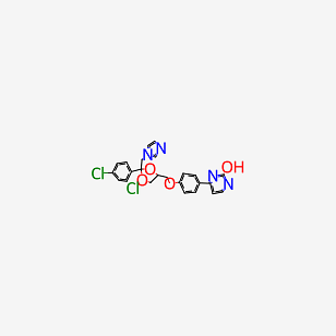 Oc1nccc(-c2ccc(OCC3COC(Cn4ccnc4)(c4ccc(Cl)cc4Cl)O3)cc2)n1